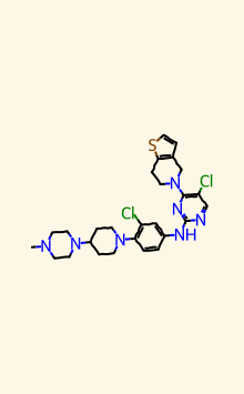 CN1CCN(C2CCN(c3ccc(Nc4ncc(Cl)c(N5CCc6sccc6C5)n4)cc3Cl)CC2)CC1